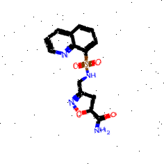 NC(=O)C1CC(CNS(=O)(=O)c2cccc3cccnc23)=NO1